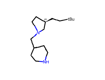 CC(C)(C)CC[C@@H]1CCN(CC2CCNCC2)C1